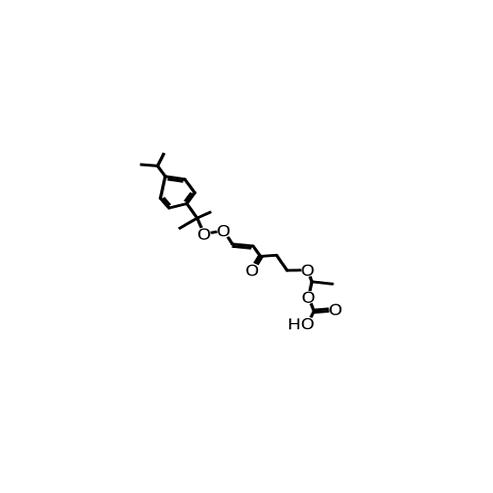 CC(OCCC(=O)C=COOC(C)(C)c1ccc(C(C)C)cc1)OC(=O)O